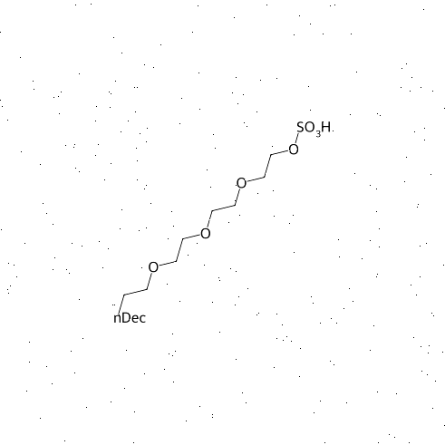 CCCCCCCCCCCCOCCOCCOCCOS(=O)(=O)O